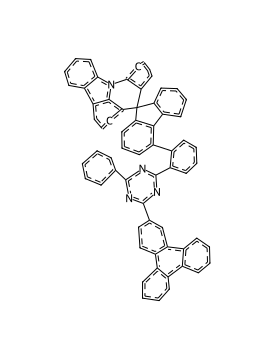 c1ccc(-c2nc(-c3ccc4c5ccccc5c5ccccc5c4c3)nc(-c3ccccc3-c3cccc4c3-c3ccccc3C43c4ccccc4-n4c5ccccc5c5cccc3c54)n2)cc1